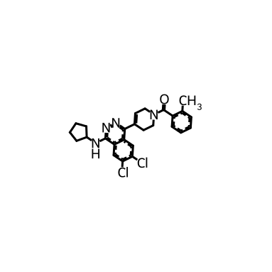 Cc1ccccc1C(=O)N1CC=C(c2nnc(NC3CCCC3)c3cc(Cl)c(Cl)cc23)CC1